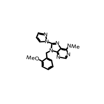 CNc1ncnc2c1nc(-n1cccn1)n2Cc1ccccc1OC